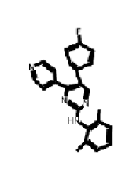 Cc1cccc(C)c1Nc1ncc(-c2ccc(F)cc2)c(-c2ccncc2)n1